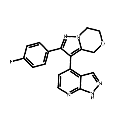 Fc1ccc(-c2nn3c(c2-c2ccnc4[nH]ncc24)COCC3)cc1